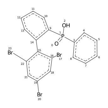 O=P(O)(c1ccccc1)c1ccccc1-c1c(Br)cc(Br)cc1Br